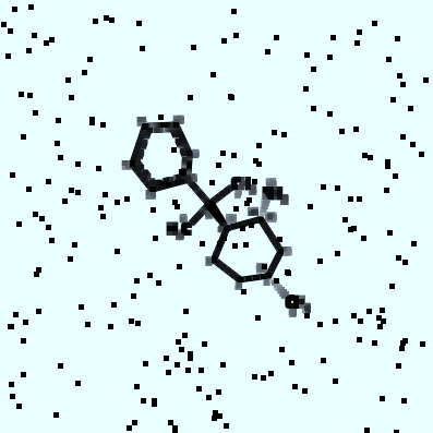 C[C@@H]1CC[C@@H](C(C)(C)c2ccccc2)[C@H](N)C1